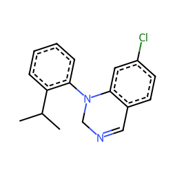 CC(C)c1ccccc1N1CN=Cc2ccc(Cl)cc21